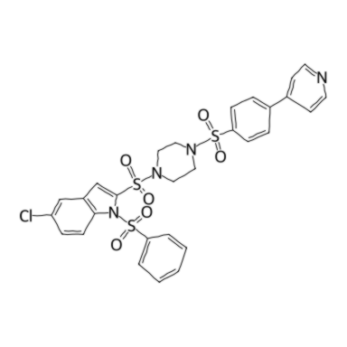 O=S(=O)(c1ccc(-c2ccncc2)cc1)N1CCN(S(=O)(=O)c2cc3cc(Cl)ccc3n2S(=O)(=O)c2ccccc2)CC1